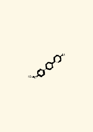 CCCCOc1ccc([C@H]2CC[C@H]([C@H]3CC[C@H](CC)CC3)CC2)cc1